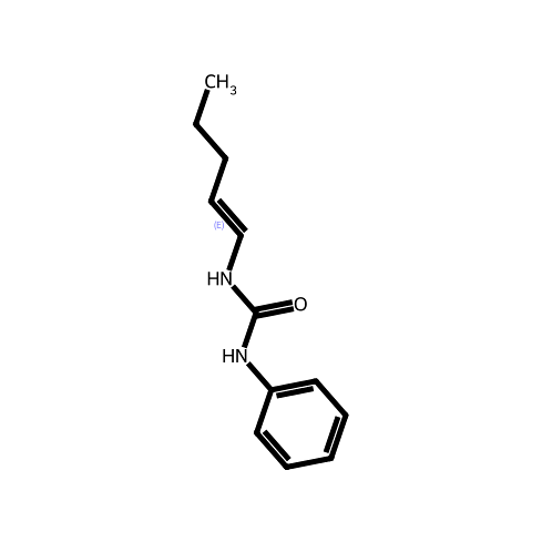 CCC/C=C/NC(=O)Nc1ccccc1